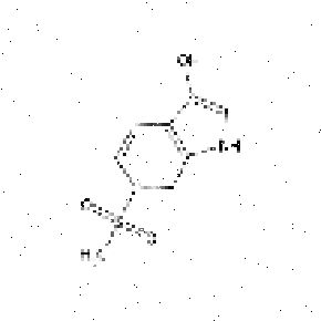 CS(=O)(=O)c1ccc2c(O)c[nH]c2c1